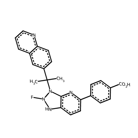 CC(C)(c1ccc2ncccc2c1)N1c2nc(-c3ccc(C(=O)O)cc3)ccc2NN1F